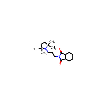 C[Si]1(C)CC[Si](C)(C)N1CCCN1C(=O)C2CCCCC2C1=O